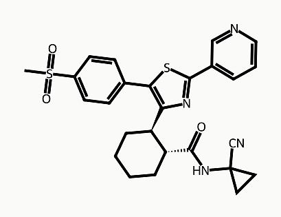 CS(=O)(=O)c1ccc(-c2sc(-c3cccnc3)nc2[C@@H]2CCCC[C@H]2C(=O)NC2(C#N)CC2)cc1